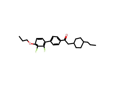 CCCOc1ccc(-c2ccc(C(=O)CC3CCC(CCC)CC3)cc2)c(F)c1F